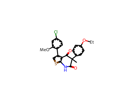 CCOc1ccc(C2(C)C(=O)Nc3scc(-c4ccc(Cl)cc4OC)c3C2=O)cc1